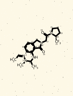 C/C=N\N(C)C(C)Nc1cccc2c1C(=O)N(CC(=O)N1CCC[C@H]1C(F)(F)F)C2